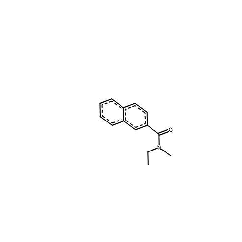 CCN(C)C(=O)c1ccc2ccccc2c1